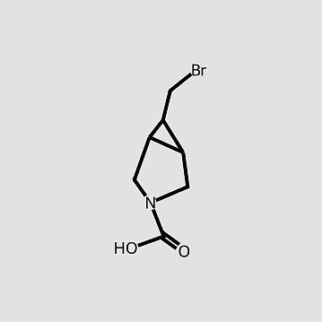 O=C(O)N1CC2C(CBr)C2C1